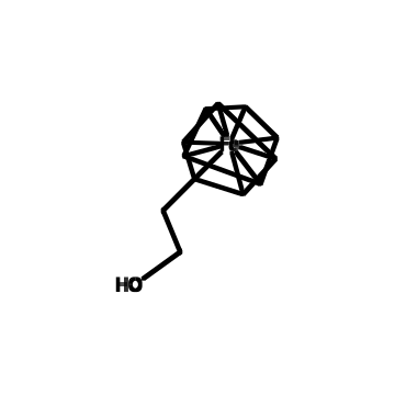 OCC[C]12[CH]3[CH]4[CH]5[CH]1[Fe]45321678[CH]2[CH]1[CH]6[CH]7[CH]28